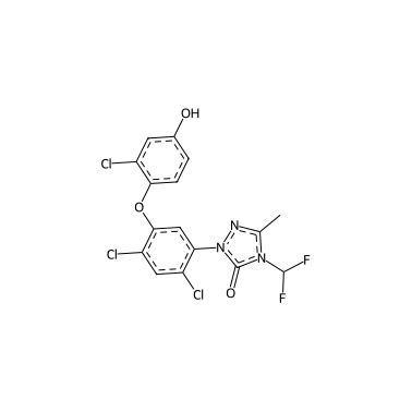 Cc1nn(-c2cc(Oc3ccc(O)cc3Cl)c(Cl)cc2Cl)c(=O)n1C(F)F